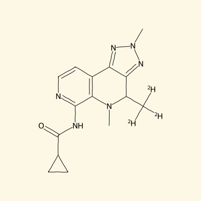 [2H]C([2H])([2H])C1c2nn(C)nc2-c2ccnc(NC(=O)C3CC3)c2N1C